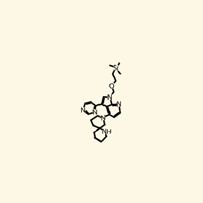 C[Si](C)(C)CCOCn1cc(-c2ccncn2)c2c(N3CCCC4(CCCCN4)C3)ccnc21